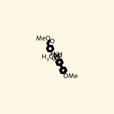 COC(=O)CC1CCC(N(C)NS(=O)(=O)c2ccc(-c3ccc(OC)cc3)cc2)CC1